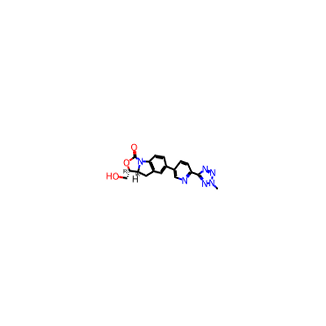 Cn1nnc(-c2ccc(-c3ccc4c(c3)C[C@H]3[C@H](CO)OC(=O)N43)cn2)n1